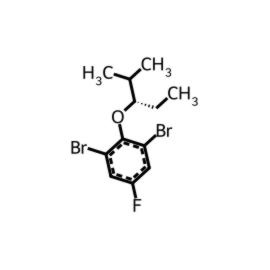 CC[C@H](Oc1c(Br)cc(F)cc1Br)C(C)C